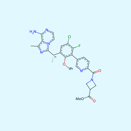 COC(=O)C1CN(C(=O)c2ccc(-c3c(F)c(Cl)cc([C@H](C)c4nc(C)c5c(N)nccn45)c3OC(C)C)cn2)C1